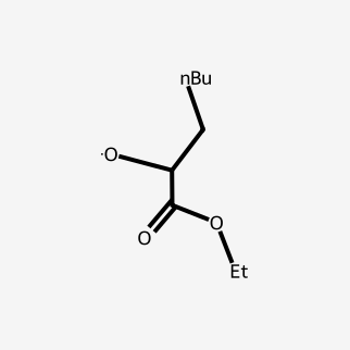 CCCCCC([O])C(=O)OCC